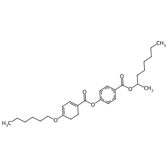 CCCCCCOC1=CC=C(C(=O)Oc2ccc(C(=O)OC(C)CCCCCC)cc2)CC1